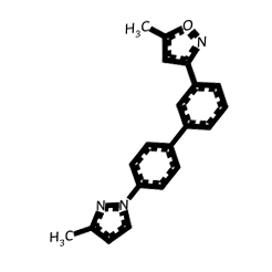 Cc1ccn(-c2ccc(-c3cccc(-c4cc(C)on4)c3)cc2)n1